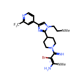 CNCCn1cc(-c2ccnc(C(F)(F)F)c2)nc1C1CCN(C(=N)/C(Br)=C(/N)NC)CC1